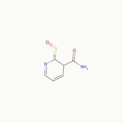 NC(=O)C1C=CC=NC1=S=O